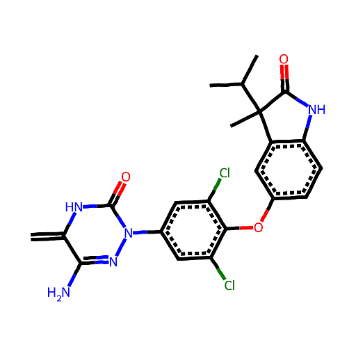 C=C1NC(=O)N(c2cc(Cl)c(Oc3ccc4c(c3)C(C)(C(C)C)C(=O)N4)c(Cl)c2)N=C1N